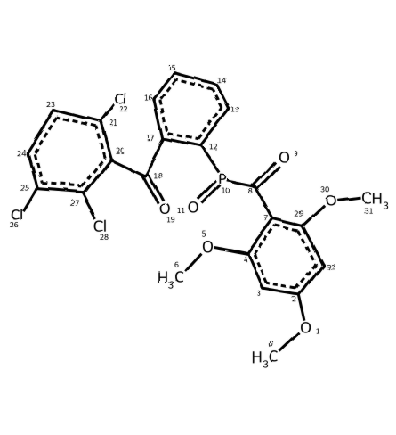 COc1cc(OC)c(C(=O)[P](=O)c2ccccc2C(=O)c2c(Cl)ccc(Cl)c2Cl)c(OC)c1